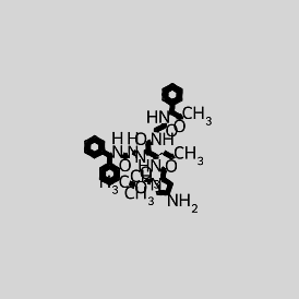 CCC[C@H](NC(=O)C1C[C@@H](N)CN1C(=O)OC(C)(C)C)C(=NNC(=O)NC(c1ccccc1)c1ccccc1)C(=O)NCC(=O)N[C@H](C(C)=O)c1ccccc1